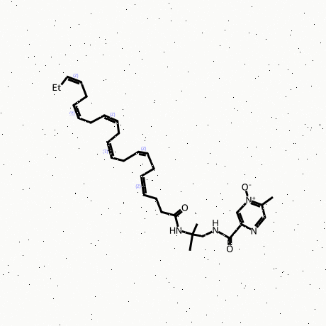 CC/C=C\C/C=C\C/C=C\C/C=C\C/C=C\C/C=C\CCC(=O)NC(C)(C)CNC(=O)c1c[n+]([O-])c(C)cn1